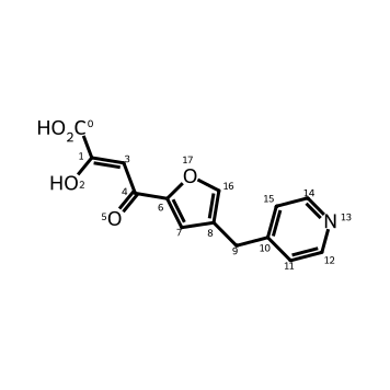 O=C(O)C(O)=CC(=O)c1cc(Cc2ccncc2)co1